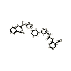 N#Cc1ccccc1CC(=O)Nc1nnc([C@H]2CCC[C@H](c3nnc(NC(=O)Cc4ccccc4C#N)s3)C2)s1